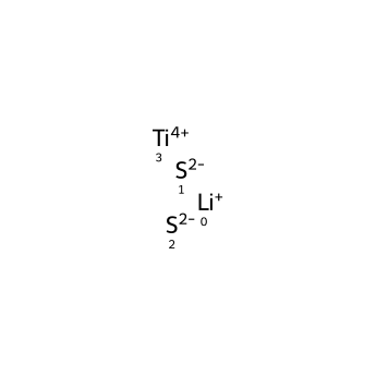 [Li+].[S-2].[S-2].[Ti+4]